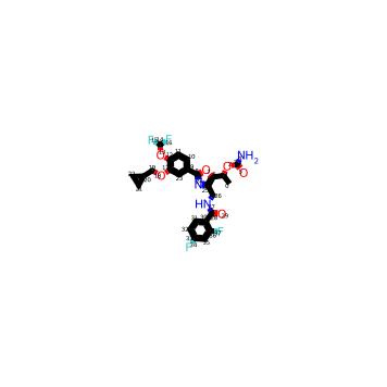 CC(OC(N)=O)c1oc(-c2ccc(OC(F)F)c(OCC3CC3)c2)nc1CNC(=O)c1ccc(F)cc1F